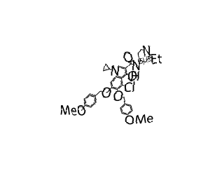 CC[C@H]1C[C@@H](NC(=O)c2cn(C3CC3)c3cc(OCc4ccc(OC)cc4)c(OCc4ccc(OC)cc4)c(Cl)c3c2=O)CCN1C